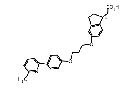 Cc1cccc(-c2ccc(OCCCOc3ccc4c(c3)CC[C@H]4CC(=O)O)cc2)n1